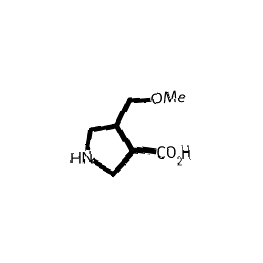 COCC1CNCC1C(=O)O